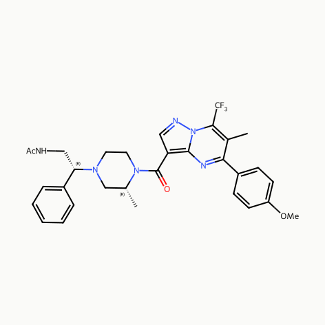 COc1ccc(-c2nc3c(C(=O)N4CCN([C@@H](CNC(C)=O)c5ccccc5)C[C@H]4C)cnn3c(C(F)(F)F)c2C)cc1